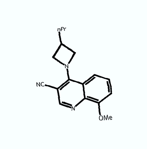 CCCC1CN(c2c(C#N)cnc3c(OC)cccc23)C1